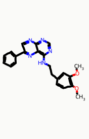 COc1ccc(CCNc2ncnc3ncc(-c4ccccc4)nc23)cc1OC